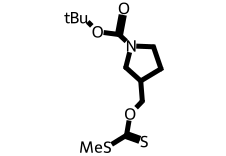 CSC(=S)OCC1CCN(C(=O)OC(C)(C)C)C1